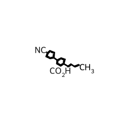 CC=CC=C(C(=O)O)c1ccc(-c2ccc(C#N)cc2)cc1